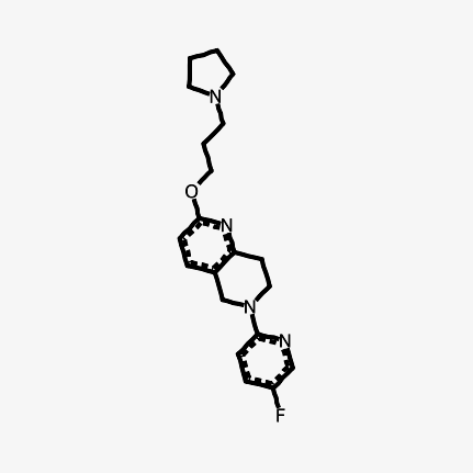 Fc1ccc(N2CCc3nc(OCCCN4CCCC4)ccc3C2)nc1